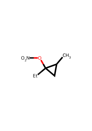 CCC1(O[N+](=O)[O-])CC1C